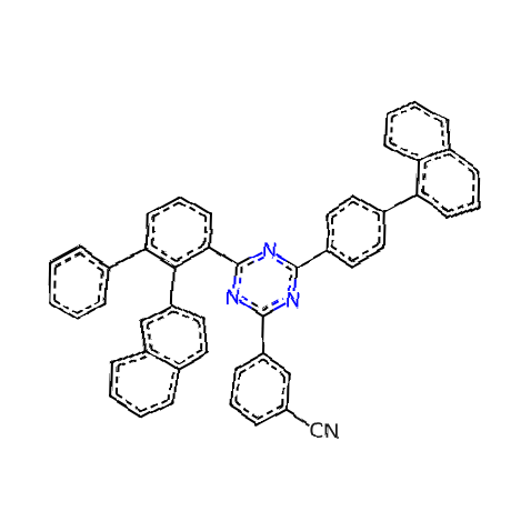 N#Cc1cccc(-c2nc(-c3ccc(-c4cccc5ccccc45)cc3)nc(-c3cccc(-c4ccccc4)c3-c3ccc4ccccc4c3)n2)c1